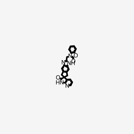 O=C1Nc2ncccc2C12Cc1cc3nc(Cn4c(=O)oc5ccccc54)[nH]c3cc1C2